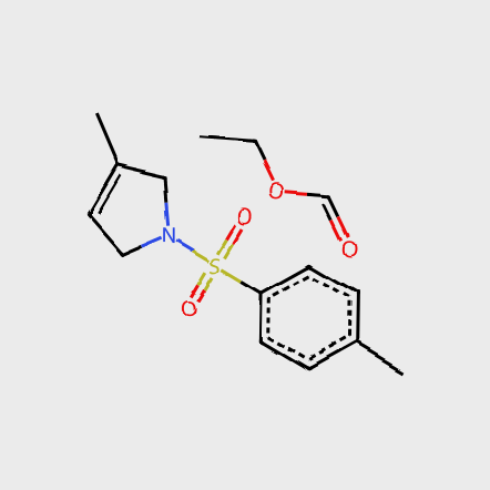 CC1=CCN(S(=O)(=O)c2ccc(C)cc2)C1.CCOC=O